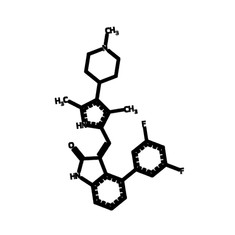 Cc1[nH]c(/C=C2\C(=O)Nc3cccc(-c4cc(F)cc(F)c4)c32)c(C)c1C1CCN(C)CC1